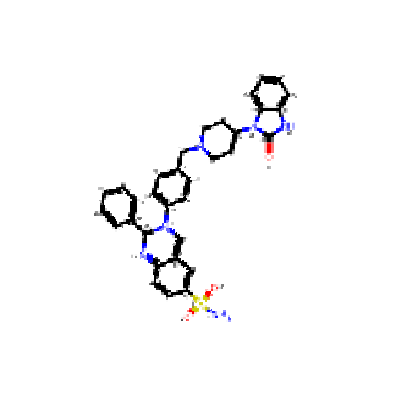 NS(=O)(=O)c1ccc2c(c1)=CN(c1ccc(CN3CCC(n4c(=O)[nH]c5ccccc54)CC3)cc1)C(c1ccccc1)N=2